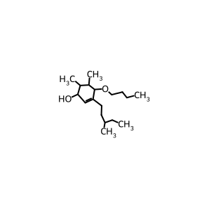 CCCCOC1C(CCC(C)CC)=CC(O)C(C)C1C